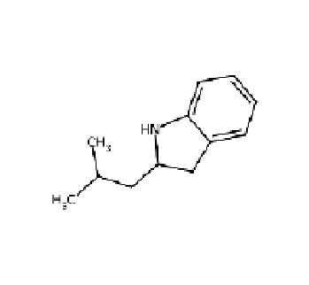 CC(C)CC1Cc2ccccc2N1